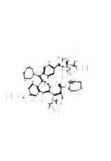 COc1ccc2c(c1)C=C(c1c(C(=O)N3CC4CCC(C3)O4)cnn1C(C)C)Cn1c-2c(C2CCCCC2)c2ccc(C(=O)NS(=O)(=O)C(C)C)cc21